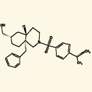 C=C(C)c1ccc(S(=O)(=O)N2CC[C@H]3C[C@@H](CO)CC[C@]3(Cc3ccccc3)C2)cc1